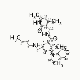 CC=CCNCc1cc(C(=O)NCc2c(C)cc(C)[nH]c2=O)c(C)c(N(CC)C2CCOCC2)c1